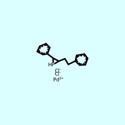 [Cl-].[Cl-].[Pd+2].c1ccc(CCC2PC2c2ccccc2)cc1